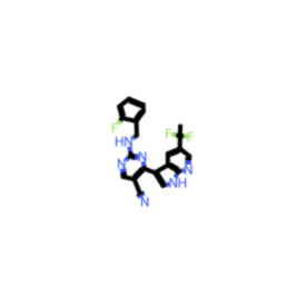 CC(F)(F)c1cnc2[nH]cc(-c3nc(NCc4ccccc4F)ncc3C#N)c2c1